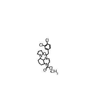 COC(=O)N1CCN(C(=O)Cc2ccc(Cl)c(Cl)c2)C2C(N3CCCC3)CCCC21